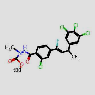 CN(NC(=O)c1ccc(C(F)=CC(c2cc(Cl)c(Cl)c(Cl)c2)C(F)(F)F)cc1Cl)C(=O)OC(C)(C)C